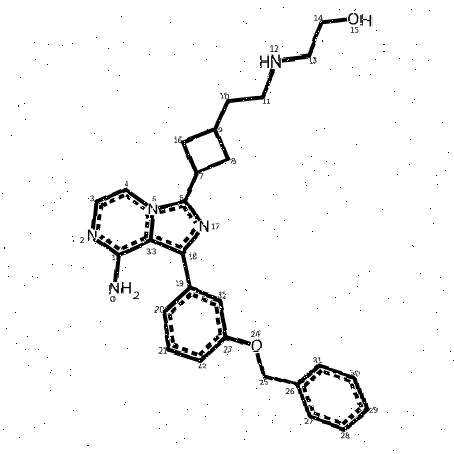 Nc1nccn2c(C3CC(CCNCCO)C3)nc(-c3cccc(OCc4ccccc4)c3)c12